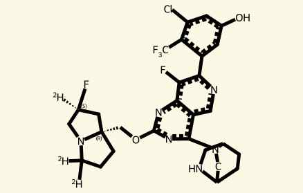 [2H]C1([2H])CC[C@]2(COc3nc(N4CC5CCC4CN5)c4cnc(-c5cc(O)cc(Cl)c5C(F)(F)F)c(F)c4n3)C[C@]([2H])(F)CN12